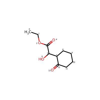 CCOC(=O)C(O)C1CCCCC1=O